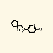 CC1(COc2ccc(Cl)nc2)CCCC1